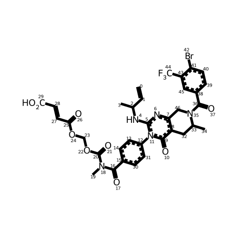 C=CC(C)Nc1nc2c(c(=O)n1-c1ccc(C(=O)N(C)C(=O)OCOC(=O)/C=C/C(=O)O)cc1)CC(C)N(C(=O)c1ccc(Br)c(C(F)(F)F)c1)C2